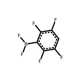 FB(F)c1c(F)c(F)cc(F)c1F